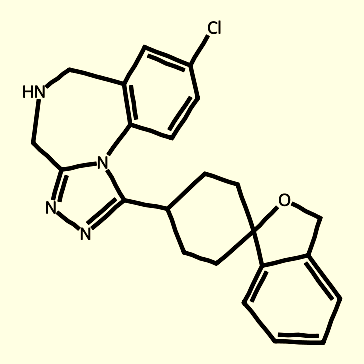 Clc1ccc2c(c1)CNCc1nnc(C3CCC4(CC3)OCc3ccccc34)n1-2